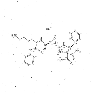 Cl.NCCCCC(NC(=O)[C@H]1O[C@@H]1C(=O)N[C@@H](Cc1ccccc1)C(O)(C(N)=O)C(N)=O)C(=O)Nc1ccccc1